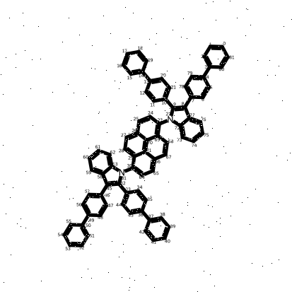 c1ccc(-c2ccc(-c3c(-c4ccc(-c5ccccc5)cc4)n(-c4ccc5ccc6c(-n7c(-c8ccc(-c9ccccc9)cc8)c(-c8ccc(-c9ccccc9)cc8)c8ccccc87)ccc7ccc4c5c76)c4ccccc34)cc2)cc1